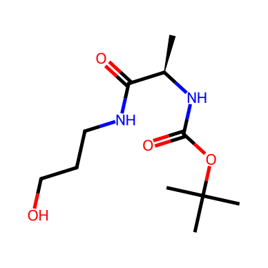 C[C@@H](NC(=O)OC(C)(C)C)C(=O)NCCCO